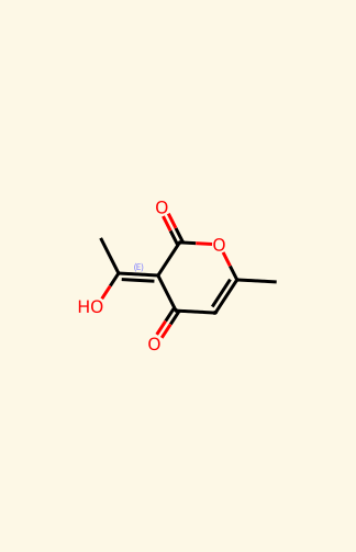 CC1=CC(=O)/C(=C(/C)O)C(=O)O1